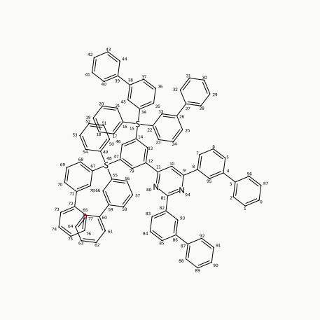 c1ccc(-c2cccc(-c3cc(-c4cc(S(c5ccccc5)(c5cccc(-c6ccccc6)c5)c5cccc(-c6ccccc6)c5)cc(S(c5ccccc5)(c5cccc(-c6ccccc6)c5)c5cccc(-c6ccccc6)c5)c4)nc(-c4cccc(-c5ccccc5)c4)n3)c2)cc1